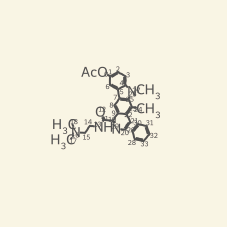 CC(=O)Oc1ccc2c(c1)c1cc3c(C(=O)NCCN(C)C)nccc3c(C)c1n2C.c1ccccc1